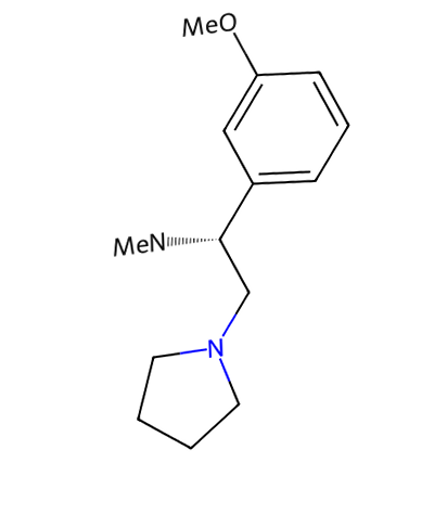 CN[C@@H](CN1CCCC1)c1cccc(OC)c1